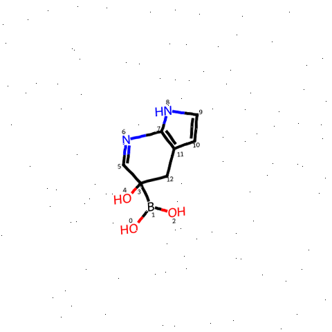 OB(O)C1(O)C=Nc2[nH]ccc2C1